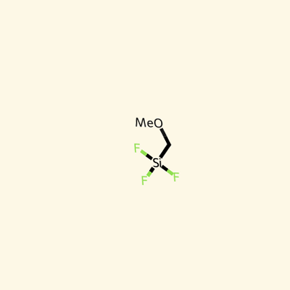 COC[Si](F)(F)F